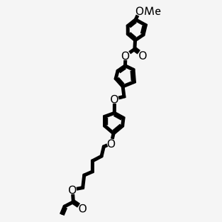 C=CC(=O)OCCCCCCOc1ccc(OCc2ccc(OC(=O)c3ccc(OC)cc3)cc2)cc1